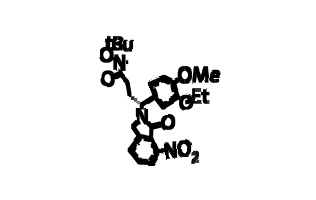 CCOc1cc([C@@H](CCC(=O)[N]OC(C)(C)C)N2Cc3cccc([N+](=O)[O-])c3C2=O)ccc1OC